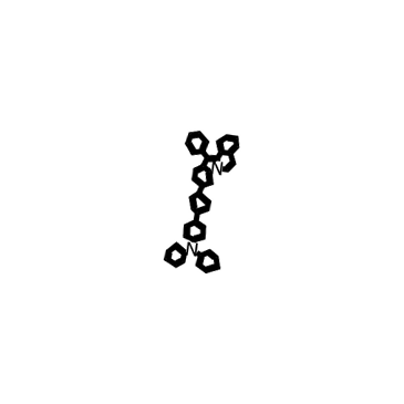 c1ccc(-c2c3ccc(-c4ccc(-c5ccc(N(c6ccccc6)c6ccccc6)cc5)cc4)cc3n3ccc4ccccc4c23)cc1